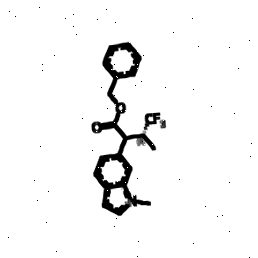 C[C@H](C(C(=O)OCc1ccccc1)c1ccc2ccn(C)c2c1)C(F)(F)F